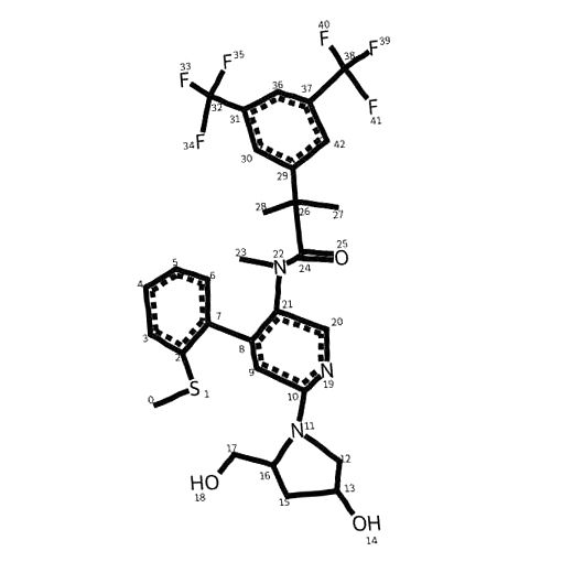 CSc1ccccc1-c1cc(N2CC(O)CC2CO)ncc1N(C)C(=O)C(C)(C)c1cc(C(F)(F)F)cc(C(F)(F)F)c1